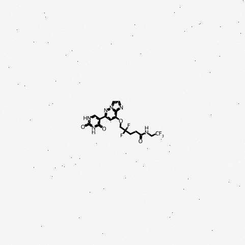 O=C(CCC(F)(F)COc1cc(-c2c[nH]c(=O)[nH]c2=O)nn2ccnc12)NCC(F)(F)F